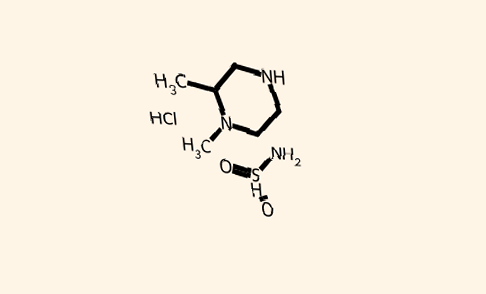 CC1CNCCN1C.Cl.N[SH](=O)=O